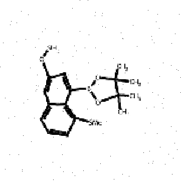 CSc1cccc2cc(O[SiH3])cc(B3OC(C)(C)C(C)(C)O3)c12